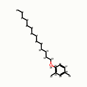 CCCCCCCCCCCCCCOc1ccc(C)cc1C